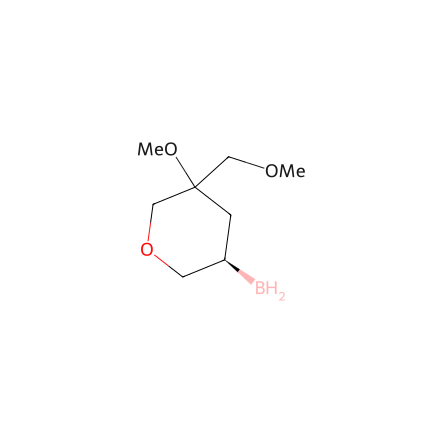 B[C@H]1COCC(COC)(OC)C1